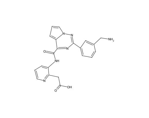 NCc1cccc(-c2nc(C(=O)Nc3cccnc3CC(=O)O)c3cccn3n2)c1